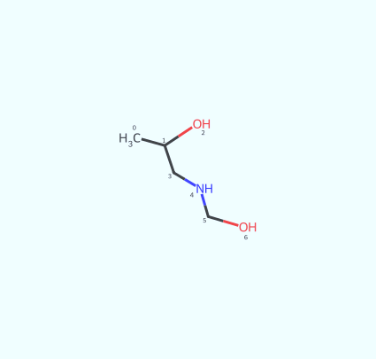 CC(O)CNCO